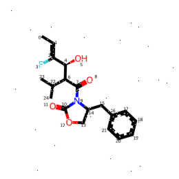 CC=C(F)[C@@H](O)C(C(=O)N1C(=O)OCC1Cc1ccccc1)C(C)C